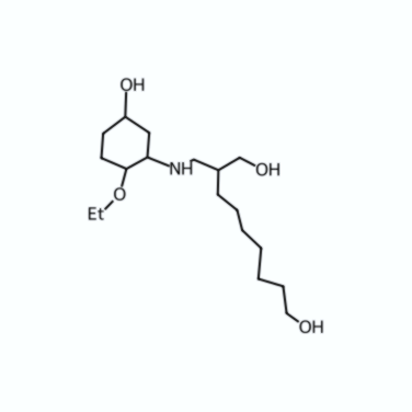 CCOC1CCC(O)CC1NCC(CO)CCCCCCCO